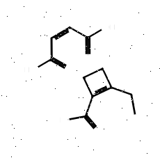 CCC1=C(C(=O)O)CC1.O=C(O)/C=C\C(=O)O